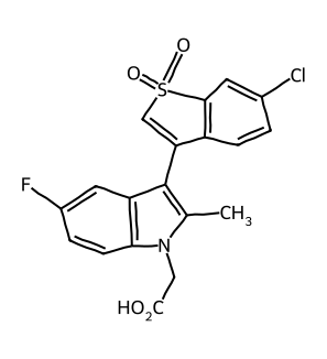 Cc1c(C2=CS(=O)(=O)c3cc(Cl)ccc32)c2cc(F)ccc2n1CC(=O)O